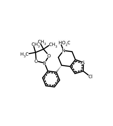 CC1(C)OB(c2ccccc2[C@@H]2CN(C(=O)O)Cc3sc(Cl)cc32)OC1(C)C